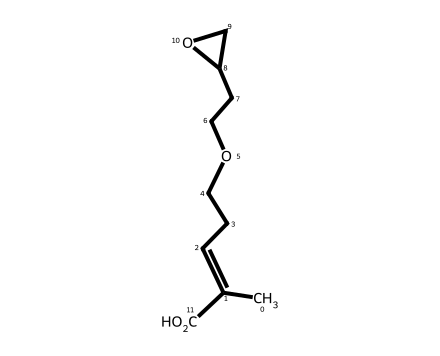 C/C(=C\CCOCCC1CO1)C(=O)O